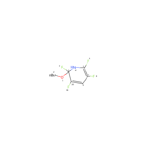 CCCCOC1(F)NC(F)=C(F)C=C1F